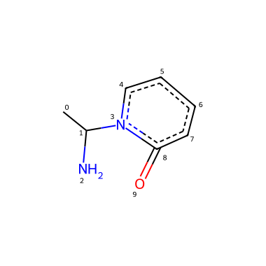 CC(N)n1ccccc1=O